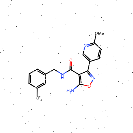 COc1ccc(-c2noc(N)c2C(=O)NCc2cccc(C(F)(F)F)c2)cn1